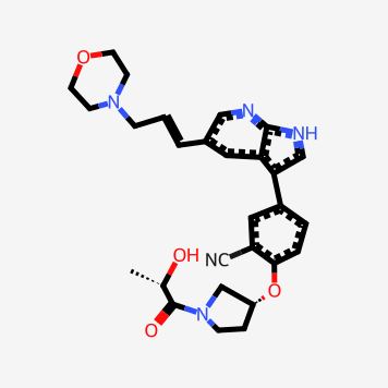 C[C@H](O)C(=O)N1CC[C@@H](Oc2ccc(-c3c[nH]c4ncc(/C=C/CN5CCOCC5)cc34)cc2C#N)C1